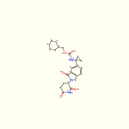 O=C1CCC(N2Cc3ccc(C4(NC(=O)OCC5CCCCC5)CC4)cc3C2=O)C(=O)N1